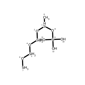 C[SiH](O[SiH2]O[SiH2]O[SiH3])O[Si](O)(O)O